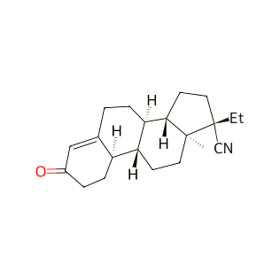 CC[C@]1(C#N)CC[C@H]2[C@@H]3CCC4=CC(=O)CC[C@@H]4[C@H]3CC[C@@]21C